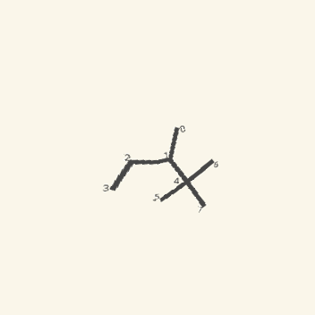 [CH2]C(CC)C([CH2])(C)C